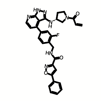 C=CC(=O)N1CC[C@@H](Nc2n[nH]c3nccc(-c4ccc(CNC(=O)c5cc(-c6ccccc6)on5)c(F)c4)c23)C1